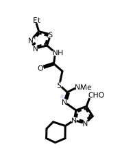 CCc1nnc(NC(=O)CS/C(=N/c2c(C=O)cnn2C2CCCCC2)NC)s1